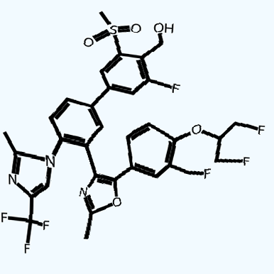 Cc1nc(-c2cc(-c3cc(F)c(CO)c(S(C)(=O)=O)c3)ccc2-n2cc(C(F)(F)F)nc2C)c(-c2ccc(OC(CF)CF)c(F)c2)o1